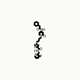 O=C(CC1CCCCC1)Nc1ccn(CCCCn2cc(C(=O)NCc3ncccc3F)nn2)c(=O)c1